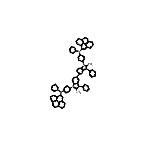 Cc1c(-c2ccccc2)c2cc(-c3ccc4c(c3)c(-c3ccccc3)c(C)n4-c3ccc(N(c4ccccc4)c4cc5cccc6ccc7cccc4c7c65)cc3)ccc2n1-c1ccc(N(c2ccccc2)c2cc3cccc4ccc5cccc2c5c43)cc1